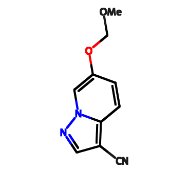 COCOc1ccc2c(C#N)cnn2c1